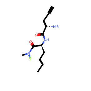 C#CC[C@H](N)C(=O)N[C@@H](CCCC)C(=O)N(C)F